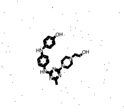 Cc1nc(Nc2ccc(Nc3ccc(O)cc3)cc2)nc(N2CCN(CCO)CC2)n1